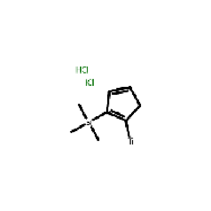 C[Si](C)(C)C1=[C]([Ti])CC=C1.Cl.Cl